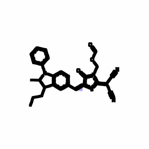 CCCC1c2cc(/C=c3/sc(=C(C#N)C#N)n(COC=O)c3=O)ccc2N(c2ccccc2)C1C